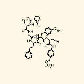 CC(=O)N1CCC[C@H]1C(=O)N[C@@H](CC(C)C)C(=O)NCC(=O)NC(CCc1ccccc1)C(=O)N[C@@H](Cc1ccc(OC(C)(C)C)cc1)C(=O)N[C@@H](CC(C)C)C(=O)Nc1ccc(COC(=O)O)cc1